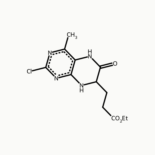 CCOC(=O)CCC1Nc2nc(Cl)nc(C)c2NC1=O